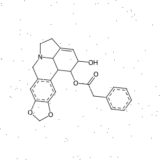 O=C(Cc1ccccc1)OC1C(O)C=C2CCN3Cc4cc5c(cc4C1C23)OCO5